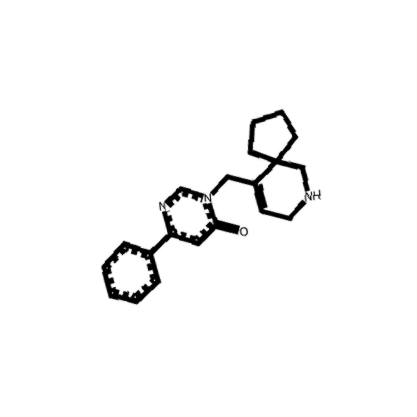 O=c1cc(-c2ccccc2)ncn1CC1=CCNCC12CCCC2